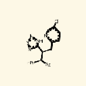 CCC[C@H](C(C)=O)[C@H](Cc1ccc(Cl)cn1)c1nnn[nH]1